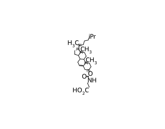 CC(C)CCC[C@@H](C)[C@H]1CCC2C3CC=C4C[C@@H](OC(=O)NCCC(=O)O)CC[C@]4(C)C3CC[C@@]21C